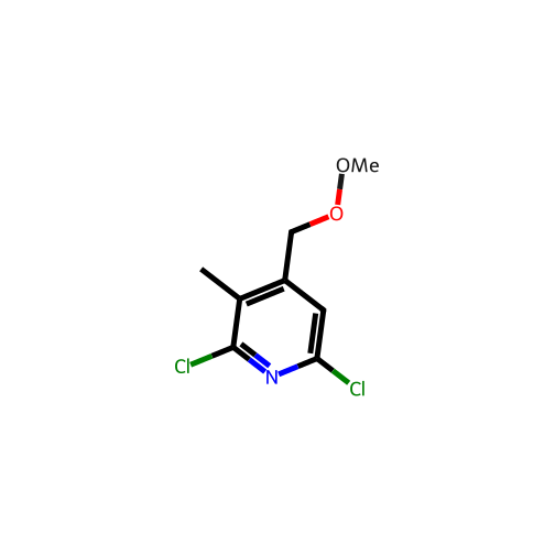 COOCc1cc(Cl)nc(Cl)c1C